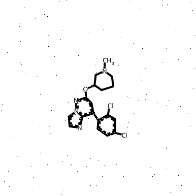 CN1CCCC(Oc2cc(-c3ccc(Cl)cc3Cl)c3nccn3n2)C1